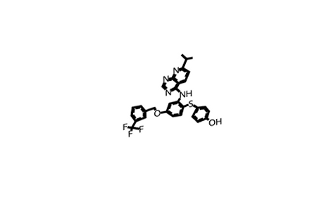 CC(C)c1ccc2c(Nc3cc(OCc4cccc(C(F)(F)F)c4)ccc3Sc3ccc(O)cc3)ncnc2n1